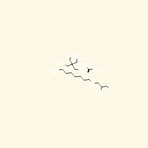 CC(=O)O.CCCCCCCCOCC(O)CO.OCC(CO)(CO)CO